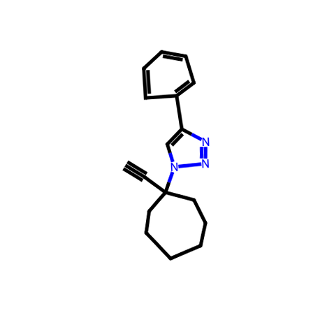 C#CC1(n2cc(-c3ccccc3)nn2)CCCCCC1